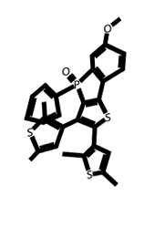 COc1ccc2c(c1)P(=O)(c1ccccc1)c1c-2sc(-c2cc(C)sc2C)c1-c1cc(C)sc1C